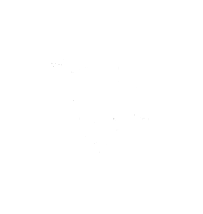 C1CC1.C1CC1.CCCCCC1CC1CC1CC1CCCCCCCC(=O)OC